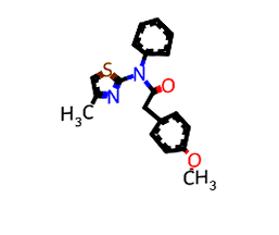 COc1ccc(CC(=O)N(c2ccccc2)c2nc(C)cs2)cc1